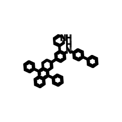 C1=CNCC(c2cc(C3=Cc4c(c(-c5ccccc5)c5ccccc5c4-c4ccccc4)CC3)ccc2Nc2ccc(-c3ccccc3)cc2)=C1